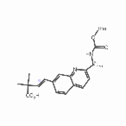 C[C@@H](NC(=O)OC(C)(C)C)c1ccc2ccc(/C=C/C(C)(C)C(=O)O)cc2n1